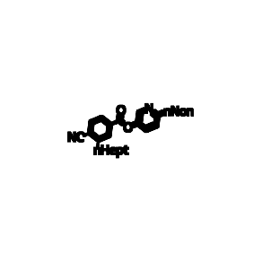 CCCCCCCCCc1ccc(OC(=O)[C@@H]2CC[C@@H](C#N)[C@@H](CCCCCCC)C2)cn1